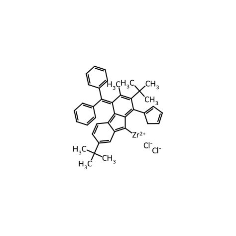 Cc1c(C(C)(C)C)c(C2=CC=CC2)c2c(c1=C(c1ccccc1)c1ccccc1)=c1ccc(C(C)(C)C)cc1=[C]2[Zr+2].[Cl-].[Cl-]